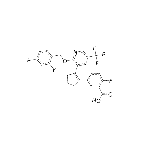 O=C(O)c1cc(C2=C(c3cc(C(F)(F)F)cnc3OCc3ccc(F)cc3F)CCC2)ccc1F